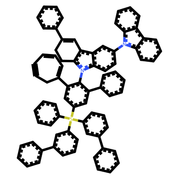 C1#CCC(c2cc(S(c3ccccc3)(c3cccc(-c4ccccc4)c3)c3cccc(-c4ccccc4)c3)cc(-c3ccccc3)c2-n2c3c(c4cc(-n5c6ccccc6c6ccccc65)ccc42)C=C(c2ccccc2)CC3)=CC=C1